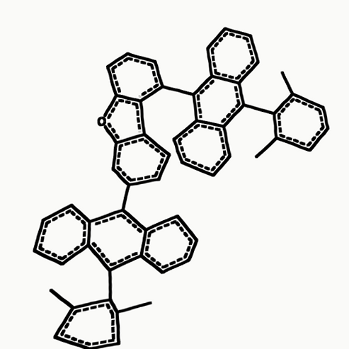 Cc1cccc(C)c1-c1c2ccccc2c(-c2ccc3c(c2)oc2cccc(-c4c5ccccc5c(-c5c(C)cccc5C)c5ccccc45)c23)c2ccccc12